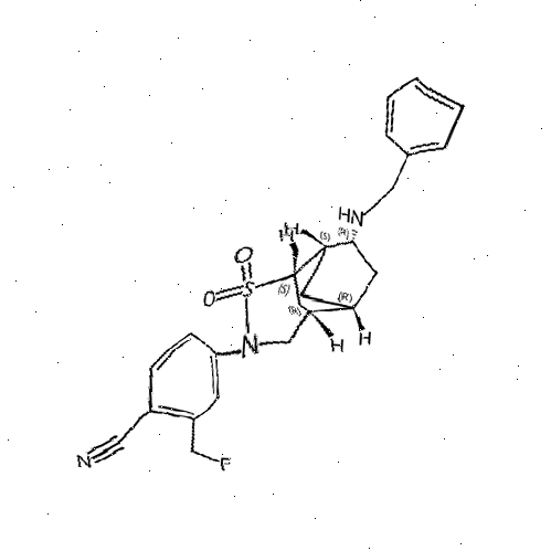 N#Cc1ccc(N2C[C@H]3[C@@H]4C[C@H]([C@H]3S2(=O)=O)[C@H](NCc2ccccc2)C4)cc1CF